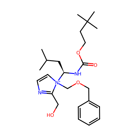 CC(C)C[C@@H](NC(=O)OCCC(C)(C)C)[N+]1(COCc2ccccc2)C=CN=C1CO